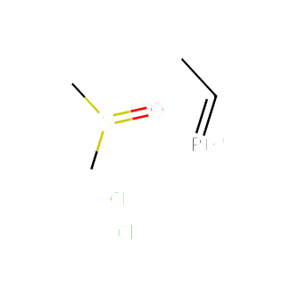 CS(C)=O.C[CH]=[Pt+2].[Cl-].[Cl-]